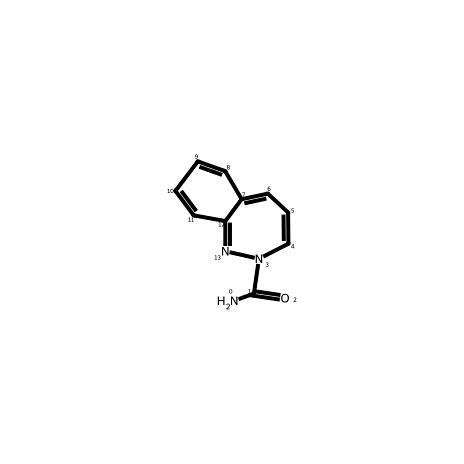 NC(=O)N1C=CC=c2ccccc2=N1